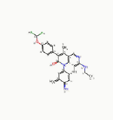 C=C1C=C(n2cc(/C=N\C(=C\CC)NCC(F)(F)F)c(C)c(-c3ccc(OC(F)F)cc3)c2=O)C=CC1=N